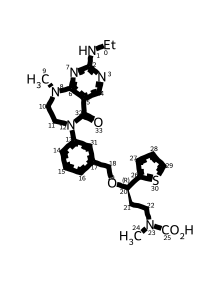 CCNc1ncc2c(n1)N(C)CCN(c1cccc(CO[C@H](CCN(C)C(=O)O)c3cccs3)c1)C2=O